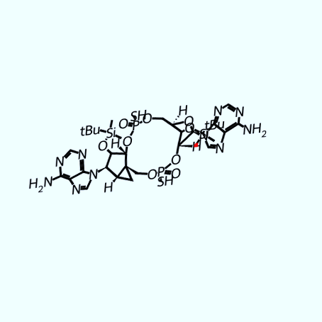 CC(C)(C)[Si](C)(C)OC1[C@H]2O[P@@](=O)(S)OC[C@@]34C[C@@H]3[C@@H](n3cnc5c(N)ncnc53)C(O[Si](C)(C)C(C)(C)C)[C@@H]4O[P@@](=O)(S)OC[C@H]1O[C@H]2n1cnc2c(N)ncnc21